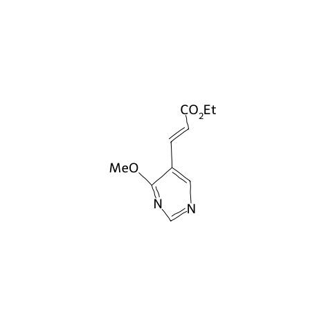 CCOC(=O)C=Cc1cncnc1OC